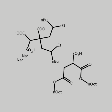 CCCCC(CC)CC(CC(CC)CCCC)(C(=O)[O-])C(C(=O)[O-])S(=O)(=O)O.CCCCCCCCOC(=O)CC(C(=O)OCCCCCCCC)S(=O)(=O)O.[Na+].[Na+]